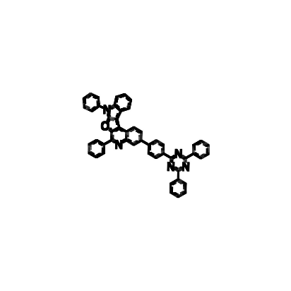 c1ccc(-c2nc(-c3ccccc3)nc(-c3ccc(-c4ccc5c(c4)nc(-c4ccccc4)c4oc6c(c7ccccc7n6-c6ccccc6)c45)cc3)n2)cc1